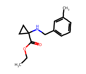 CCOC(=O)C1(NCc2cccc(C)c2)CC1